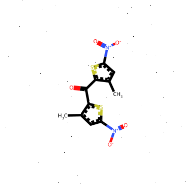 Cc1cc([N+](=O)[O-])sc1C(=O)c1sc([N+](=O)[O-])cc1C